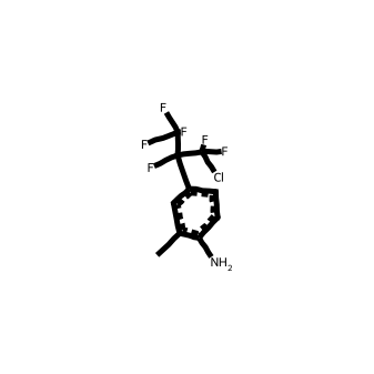 Cc1cc(C(F)(C(F)(F)F)C(F)(F)Cl)ccc1N